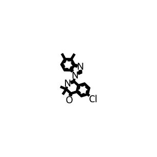 Cc1ccc2c(ncn2C2=NC(C)(C)C(=O)c3cc(Cl)ccc32)c1C